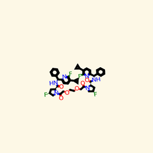 O=C(N[C@@H](c1ccccc1)c1ccc(C2CC2)c(F)n1)[C@@H]1C[C@@H](F)CN1C(=O)COCCOCC(=O)N1C[C@H](F)C[C@H]1C(=O)N[C@@H](c1ccccc1)c1ccc(C2CC2)c(F)n1